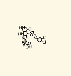 O=C(O)C(F)(F)F.O=C1CNCC2=C1C(c1ccc(COc3ccc(Cl)c(Cl)c3)o1)c1c[nH]nc1N2